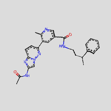 CC(=O)Nc1cn2nc(-c3cc(C(=O)NCCC(C)c4ccccc4)cnc3C)ccc2n1